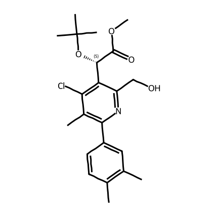 COC(=O)[C@@H](OC(C)(C)C)c1c(CO)nc(-c2ccc(C)c(C)c2)c(C)c1Cl